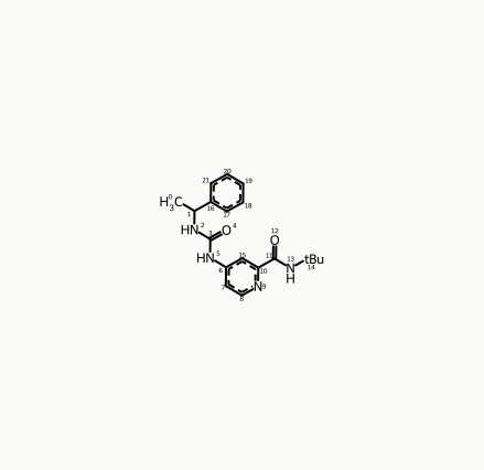 CC(NC(=O)Nc1ccnc(C(=O)NC(C)(C)C)c1)c1ccccc1